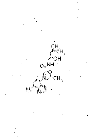 C[C@@H]1CN(c2ccc(C#N)c3nccnc23)C[C@H](C(=O)NCC(O)CN(C)C)O1